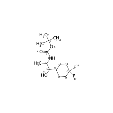 CC(NC(=O)OC(C)(C)C)C(O)C1CCC(F)(F)CC1